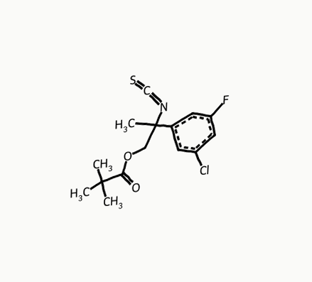 CC(C)(C)C(=O)OCC(C)(N=C=S)c1cc(F)cc(Cl)c1